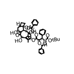 CC(=O)O[C@@]12CC[C@@H]1C[C@H](O)[C@@]1(C)C(=O)[C@H](O)C3=C(C)[C@@H](OC(=O)[C@H](OC(=O)c4ccccc4)[C@@H](NC(=O)OC(C)(C)C)c4ccccc4)C[C@@](O)([C@@H](OC(=O)c4ccccc4)C12)C3(C)C